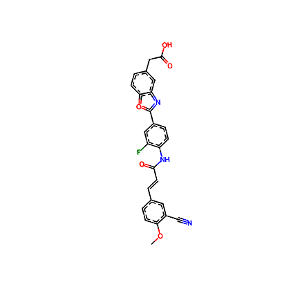 COc1ccc(C=CC(=O)Nc2ccc(-c3nc4cc(CC(=O)O)ccc4o3)cc2F)cc1C#N